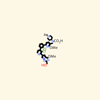 COc1nc(-c2cccc(-c3ccnc(-c4cc5c(OC)nc(CO)nn5c4)c3Cl)c2Cl)ccc1CN(C(=O)O)C1CCN(C(C)=O)CC1